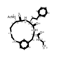 CC(=O)N[C@H]1CCCCOc2cccc(c2)C[C@@H](C(=O)NCC(F)(F)F)NC(=O)[C@H](CCc2ccccc2)NC1=O